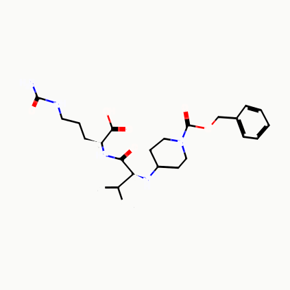 CC(C)[C@H](NC1CCN(C(=O)OCc2ccccc2)CC1)C(=O)N[C@@H](CCCNC(N)=O)C(=O)O